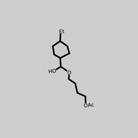 CCC1CCC(C(O)OCCCCOC(C)=O)CC1